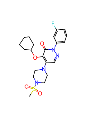 CS(=O)(=O)N1CCN(c2cnn(-c3cccc(F)c3)c(=O)c2OC2CCCCC2)CC1